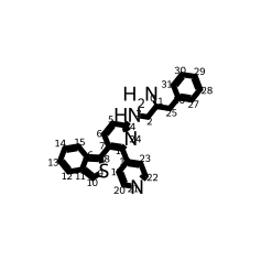 N[C@H](CNc1ccc(-c2scc3ccccc23)c(-c2ccncc2)n1)Cc1ccccc1